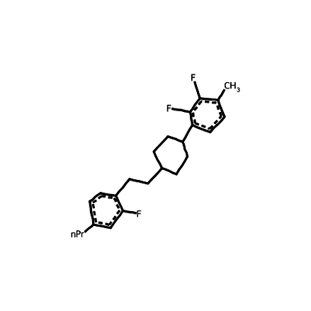 CCCc1ccc(CCC2CCC(c3ccc(C)c(F)c3F)CC2)c(F)c1